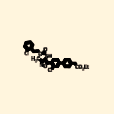 CCOC(=O)Cc1ccc(-c2ccc(-c3onc(C)c3NC(=O)OCCc3ccccc3Cl)c(Cl)c2)cc1